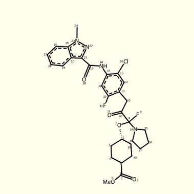 COC(=O)[C@H]1CC[C@H](OC(F)(C(=O)Cc2cc(Cl)c(NC(=O)c3nn(C)c4ccccc34)cc2F)N2CCCC2)CC1